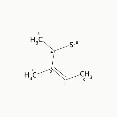 CC=C(C)C(C)[S]